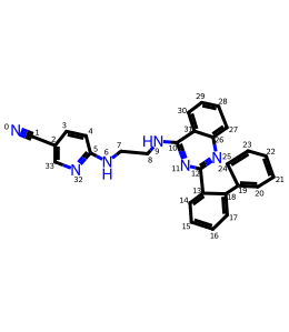 N#Cc1ccc(NCCNc2nc(-c3ccccc3-c3ccccc3)nc3ccccc23)nc1